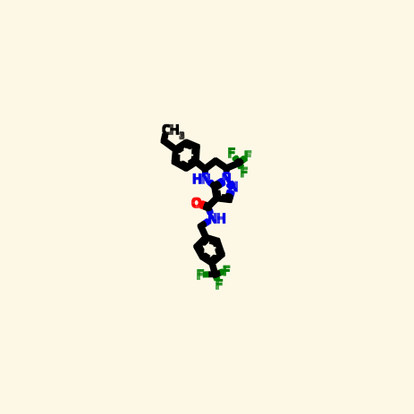 CCc1ccc(C2CC(C(F)(F)F)n3ncc(C(=O)NCc4ccc(C(F)(F)F)cc4)c3N2)cc1